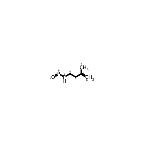 C=C(C)CCPP=O